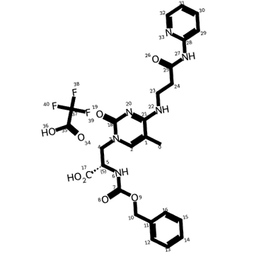 Cc1cn(C[C@H](NC(=O)OCc2ccccc2)C(=O)O)c(=O)nc1NCCC(=O)Nc1ccccn1.O=C(O)C(F)(F)F